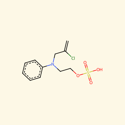 C=C(Cl)CN(CCOS(=O)(=O)O)c1ccccc1